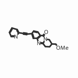 COCC1CCc2nc3cc(C#Cc4ccccn4)ccc3c(=O)n2C1